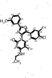 CCNc1nc(=O)n(-c2nc(-c3cccc(C)c3)oc2-c2ccc(Cl)c(F)c2)cc1F